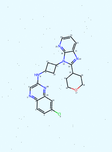 Clc1ccc2ncc(NC3CC(n4c(C5CCOCC5)nc5cccnc54)C3)nc2c1